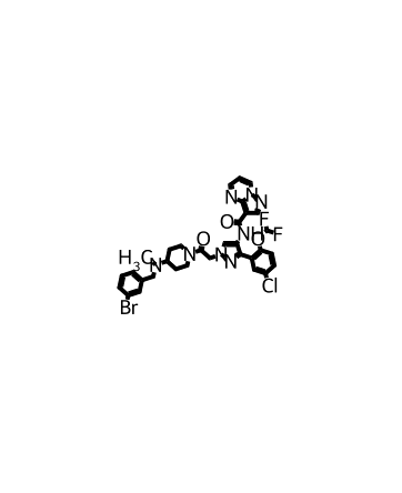 CN(Cc1cccc(Br)c1)C1CCN(C(=O)Cn2cc(NC(=O)c3cnn4cccnc34)c(-c3cc(Cl)ccc3OC(F)F)n2)CC1